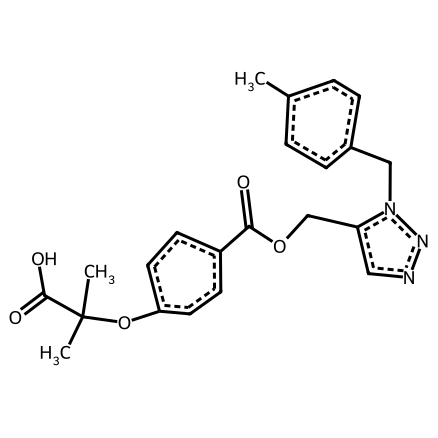 Cc1ccc(Cn2nncc2COC(=O)c2ccc(OC(C)(C)C(=O)O)cc2)cc1